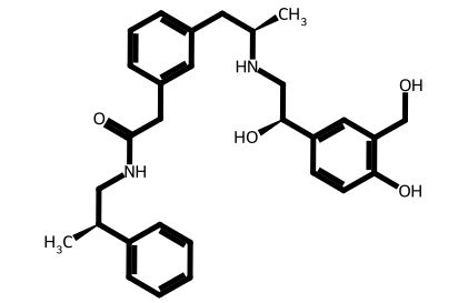 C[C@H](Cc1cccc(CC(=O)NC[C@H](C)c2ccccc2)c1)NC[C@H](O)c1ccc(O)c(CO)c1